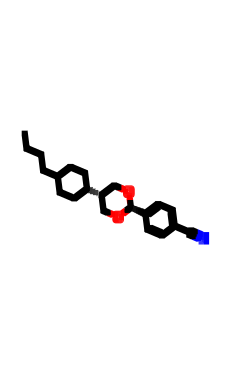 CCCCC1CCC([C@H]2CO[C@H](c3ccc(C#N)cc3)OC2)CC1